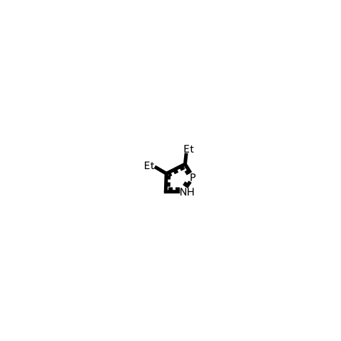 CCc1c[nH]pc1CC